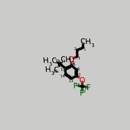 CCCCOc1cc(OC(F)(F)F)ccc1C(C)(C)C